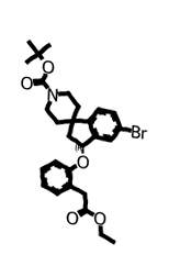 CCOC(=O)Cc1ccccc1O[C@@H]1CC2(CCN(C(=O)OC(C)(C)C)CC2)c2ccc(Br)cc21